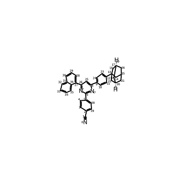 N#Cc1ccc(-c2nc(-c3ccc(C45CC6C[C@H](C4)C[C@@H](C6)C5)cc3)cc(-c3cccc4ccccc34)n2)cc1